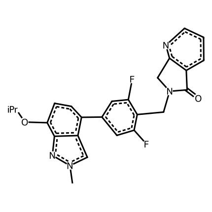 CC(C)Oc1ccc(-c2cc(F)c(CN3Cc4ncccc4C3=O)c(F)c2)c2cn(C)nc12